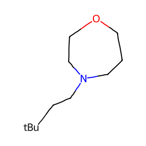 CC(C)(C)CCN1CCCOCC1